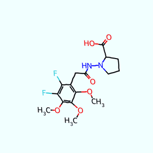 COc1c(F)c(F)c(CC(=O)NN2CCCC2C(=O)O)c(OC)c1OC